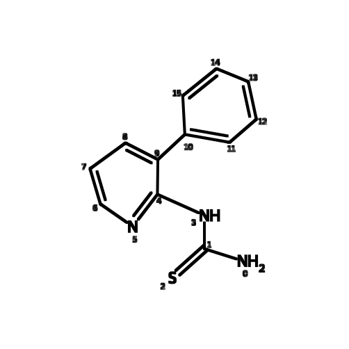 NC(=S)Nc1ncccc1-c1ccccc1